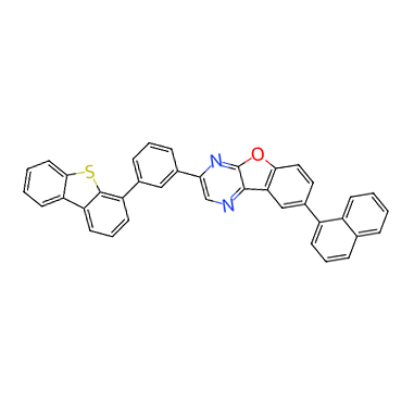 c1cc(-c2cnc3c(n2)oc2ccc(-c4cccc5ccccc45)cc23)cc(-c2cccc3c2sc2ccccc23)c1